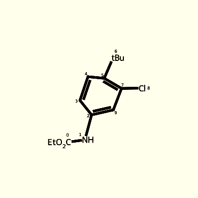 CCOC(=O)Nc1ccc(C(C)(C)C)c(Cl)c1